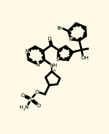 CC(O)(c1csc(C(=O)c2cncnc2N[C@H]2CCC(COS(N)(=O)=O)C2)c1)c1cccc(Br)n1